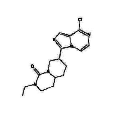 CCN1CCC2CCC(c3ncc4c(Cl)nccn34)CN2C1=O